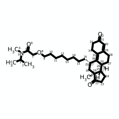 CC(C)N(C)C(=O)COCCCCCCCC[C@H]1C[C@]2(C)C(=O)CC[C@H]2[C@@H]2CCC3=CC(=O)CCC3=C12